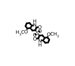 COc1cccc2[nH]c(=O)c(S(=O)(=O)c3cc4c(OC)cccc4[nH]c3=O)cc12